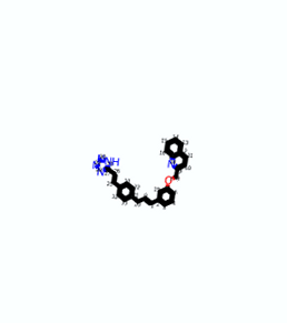 C(=Cc1cccc(OCc2ccc3ccccc3n2)c1)Cc1ccc(C=Cc2nnn[nH]2)cc1